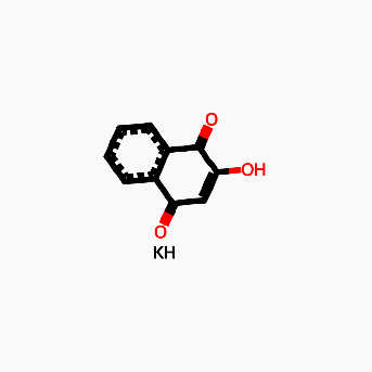 O=C1C=C(O)C(=O)c2ccccc21.[KH]